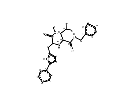 COC(=O)C(Cc1ccc(-c2ccccc2)o1)NC(CC(C)C)C(=O)OCc1ccccc1